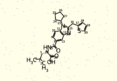 CC(C)C[C@H](NC(=O)c1ccc2c(c1)nc(Cc1cccs1)n2C1CCCC1)C(=O)O